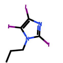 CCCn1c(I)nc(I)c1I